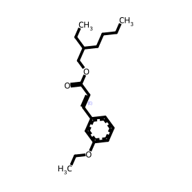 CCCCC(CC)COC(=O)/C=C/c1cccc(OCC)c1